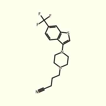 N#CCCCN1CCN(c2csc3cc(C(F)(F)F)ccc23)CC1